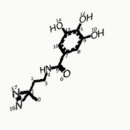 CC1(CCNC(=O)c2cc(O)c(O)c(O)c2)N=N1